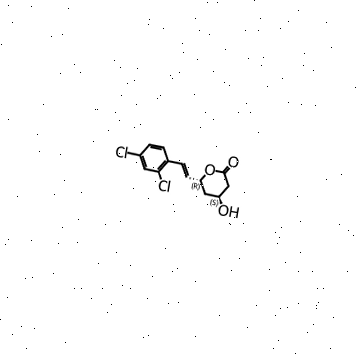 O=C1C[C@@H](O)C[C@H](C=Cc2ccc(Cl)cc2Cl)O1